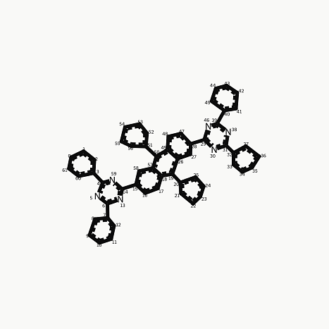 c1ccc(-c2nc(-c3ccccc3)nc(-c3ccc4c(-c5ccccc5)c5cc(-c6nc(-c7ccccc7)nc(-c7ccccc7)n6)ccc5c(-c5ccccc5)c4c3)n2)cc1